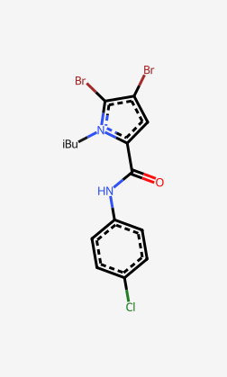 CCC(C)n1c(C(=O)Nc2ccc(Cl)cc2)cc(Br)c1Br